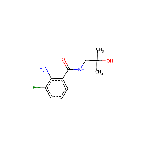 CC(C)(O)CNC(=O)c1cccc(F)c1N